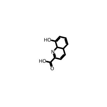 O=C(O)C1=NC2C(O)=CC=CC2C=C1